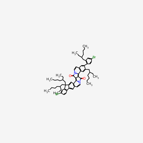 CCCCC(CC)Cc1cc(Br)ccc1-c1cc2c(cc1CC(CC)CCCC)C1=C3C(=O)N4C=Cc5cc6c(cc5C4=C3C(=O)N1C=C2)C(CC(CC)CCCC)(CC(CC)CCCC)c1cc(Br)ccc1-6